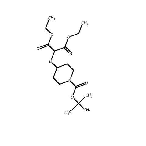 CCOC(=O)C(OC1CCN(C(=O)OC(C)(C)C)CC1)C(=S)OCC